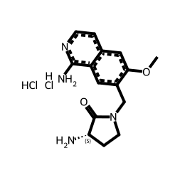 COc1cc2ccnc(N)c2cc1CN1CC[C@H](N)C1=O.Cl.Cl